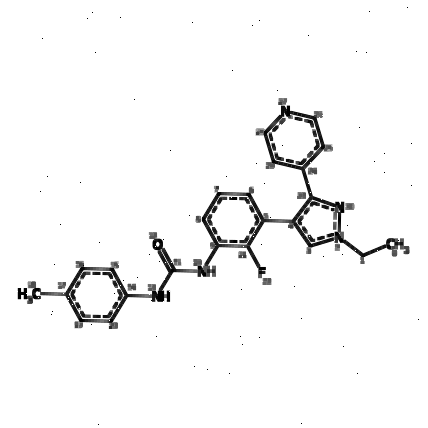 CCn1cc(-c2cccc(NC(=O)Nc3ccc(C)cc3)c2F)c(-c2ccncc2)n1